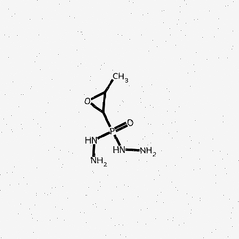 CC1OC1P(=O)(NN)NN